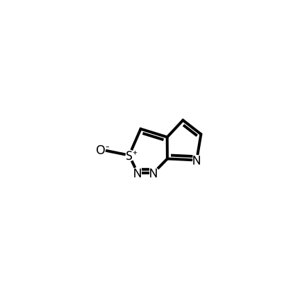 [O-][s+]1cc2ccnc-2nn1